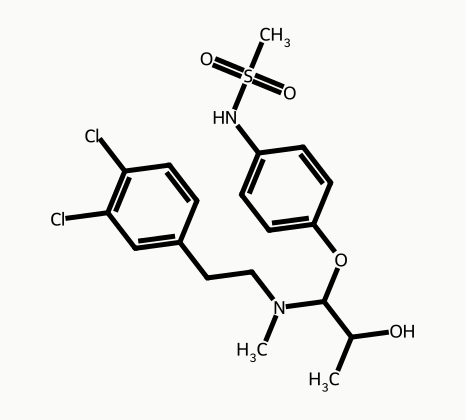 CC(O)C(Oc1ccc(NS(C)(=O)=O)cc1)N(C)CCc1ccc(Cl)c(Cl)c1